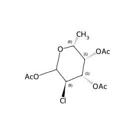 CC(=O)OC1O[C@H](C)[C@H](OC(C)=O)[C@H](OC(C)=O)[C@H]1Cl